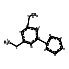 CCc1cc(CC)nc(-c2ccccc2)n1